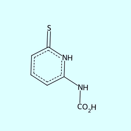 O=C(O)Nc1cccc(=S)[nH]1